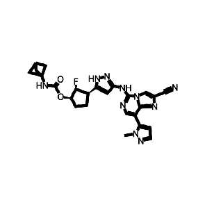 Cn1nccc1-c1cnc(Nc2cc([C@H]3CC[C@@H](OC(=O)NC45CC(C4)C5)[C@H]3F)[nH]n2)n2cc(C#N)nc12